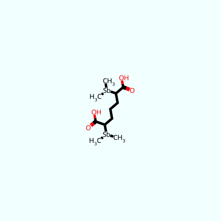 [CH3][Sb]([CH3])[CH](CCC[CH](C(=O)O)[Sb]([CH3])[CH3])C(=O)O